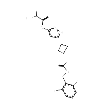 CC(C)C(=O)Nc1cc([C@H]2C[C@@H](OC(=O)NCc3c(F)cccc3F)C2)[nH]n1